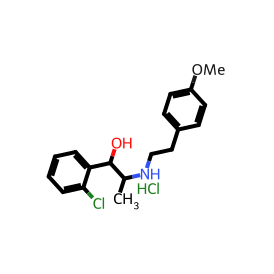 COc1ccc(CCNC(C)C(O)c2ccccc2Cl)cc1.Cl